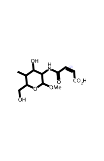 COC1OC(CO)C(C)C(O)C1NC(=O)/C=C\C(=O)O